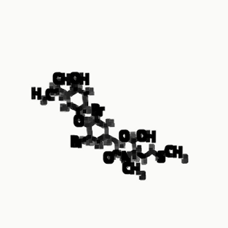 CSCC[C@H](C(=O)O)N(C)C(=O)Cc1cc(Br)c(Oc2ccc(O)c(C(C)C)c2)c(Br)c1